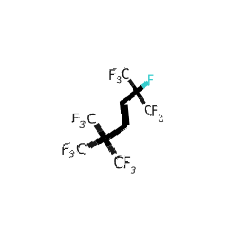 FC(F)(F)C(F)(C=CC(C(F)(F)F)(C(F)(F)F)C(F)(F)F)C(F)(F)F